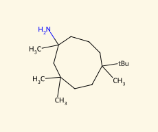 CC1(C)CCC(C)(C(C)(C)C)CCCC(C)(N)C1